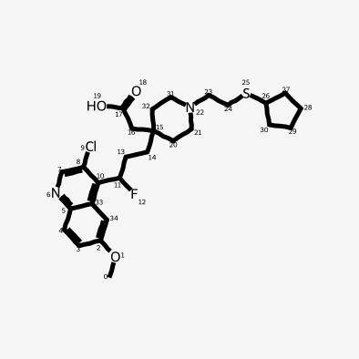 COc1ccc2ncc(Cl)c(C(F)CCC3(CC(=O)O)CCN(CCSC4CCCC4)CC3)c2c1